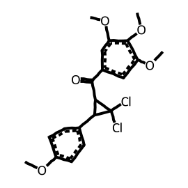 COc1ccc(C2C(C(=O)c3cc(OC)c(OC)c(OC)c3)C2(Cl)Cl)cc1